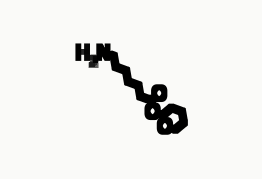 NCCCCCCC(=O)OC1CCCCO1